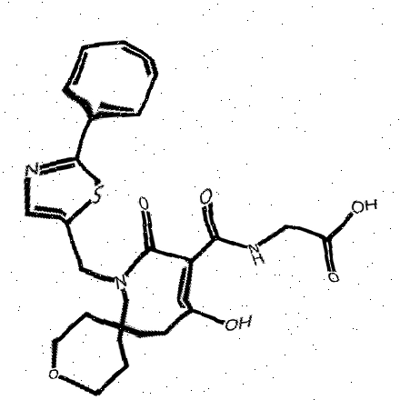 O=C(O)CNC(=O)C1=C(O)CC2(CCOCC2)N(Cc2cnc(-c3ccccc3)s2)C1=O